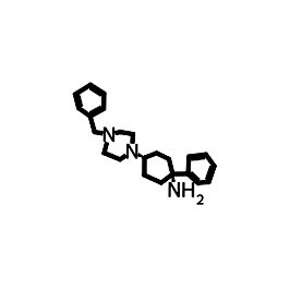 N[C@]1(c2ccccc2)CC[C@H](N2CCN(Cc3ccccc3)CC2)CC1